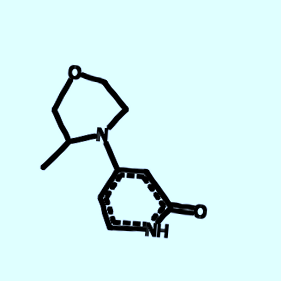 CC1COCCN1c1cc[nH]c(=O)c1